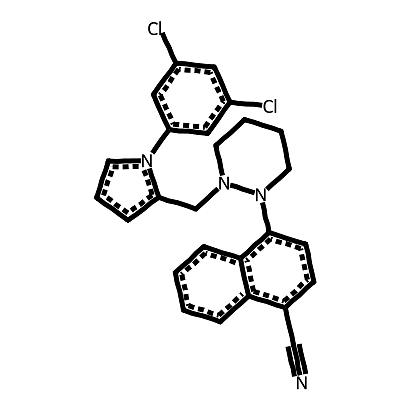 N#Cc1ccc(N2CCCCN2Cc2cccn2-c2cc(Cl)cc(Cl)c2)c2ccccc12